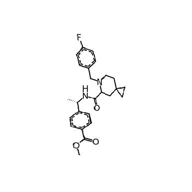 COC(=O)c1ccc([C@H](C)NC(=O)C2CC3(CCN2Cc2ccc(F)cc2)CC3)cc1